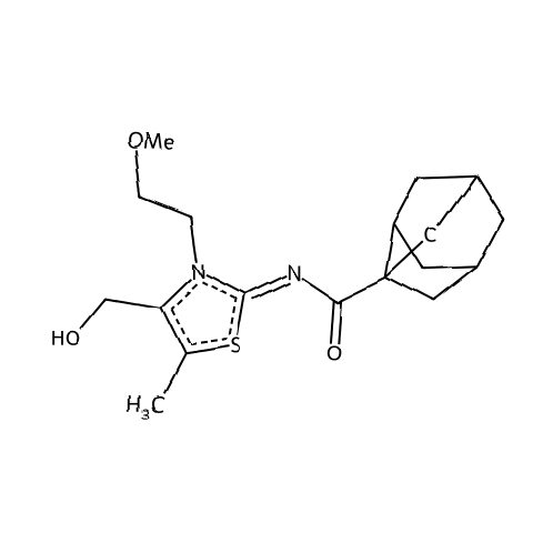 COCCn1c(CO)c(C)sc1=NC(=O)C12CC3CC(CC1C3)C2